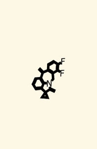 C=C1c2ccc(F)c(F)c2CN2C(=C)C3(CC3)c3cccc1c32